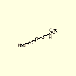 CC(C)(C)OC(=O)NCCCOCCOCCOCCCN=[N+]=[N-]